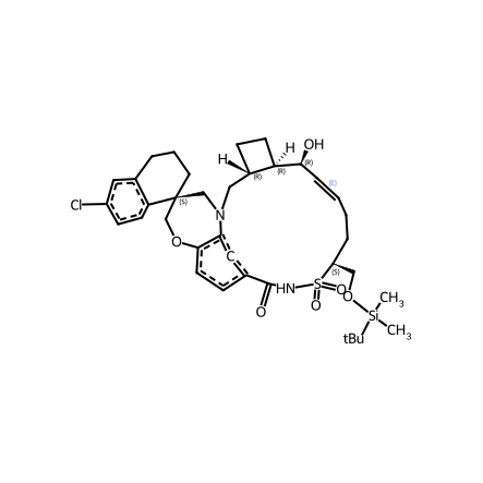 CC(C)(C)[Si](C)(C)OC[C@@H]1CC/C=C/[C@H](O)[C@@H]2CC[C@H]2CN2C[C@@]3(CCCc4cc(Cl)ccc43)COc3ccc(cc32)C(=O)NS1(=O)=O